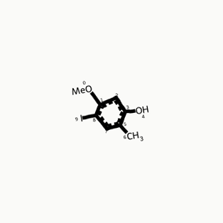 COc1cc(O)c(C)cc1I